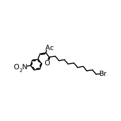 CC(=O)/C(=C/c1cccc([N+](=O)[O-])c1)C(=O)CCCCCCCCCCBr